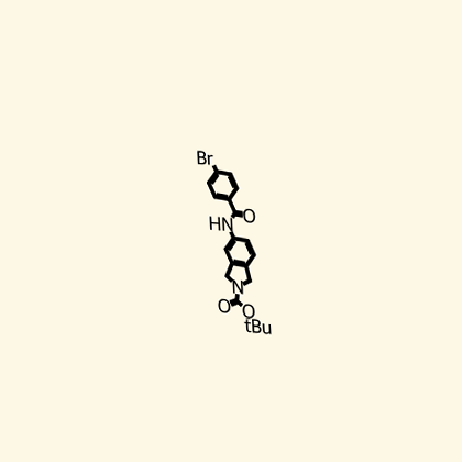 CC(C)(C)OC(=O)N1Cc2ccc(NC(=O)c3ccc(Br)cc3)cc2C1